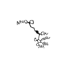 CCCCC1C(C(O)C#CCCCC(=O)OC)C(=O)C(O[SiH](C)C)C1C(C)(C)C